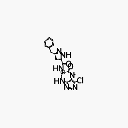 CN1C(=O)[C@@H](NC(=O)c2cc(Cc3ccccc3)n[nH]2)CNc2ncnc(Cl)c21